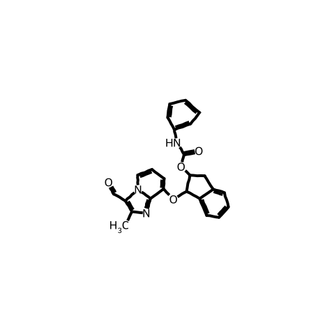 Cc1nc2c(OC3c4ccccc4CC3OC(=O)Nc3ccccc3)cccn2c1C=O